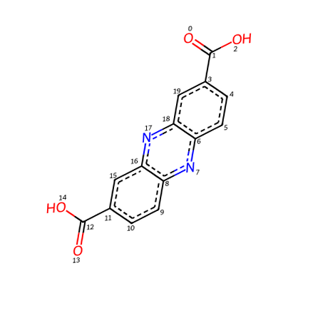 O=C(O)c1ccc2nc3ccc(C(=O)O)cc3nc2c1